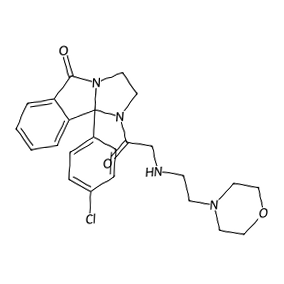 O=C(CNCCN1CCOCC1)N1CCN2C(=O)c3ccccc3C12c1ccc(Cl)cc1